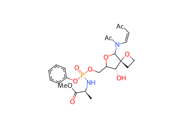 COC(=O)[C@H](C)NP(=O)(OCC1OC(N(/C=C\C(C)=O)C(C)=O)[C@@]2(CCO2)[C@@H]1O)Oc1ccccc1